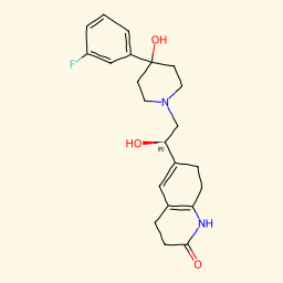 O=C1CCC2=C(CCC([C@@H](O)CN3CCC(O)(c4cccc(F)c4)CC3)=C2)N1